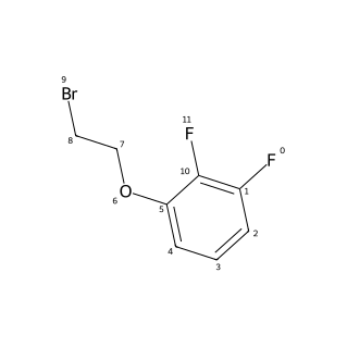 Fc1cccc(OCCBr)c1F